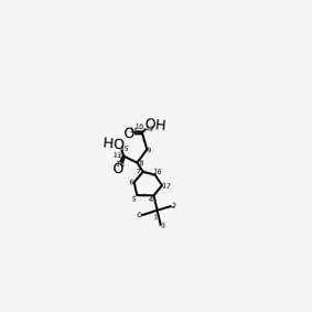 CC(C)(C)C1CCC(C(CC(=O)O)C(=O)O)CC1